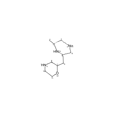 CC1CNCC(CC2CNCCO2)N1